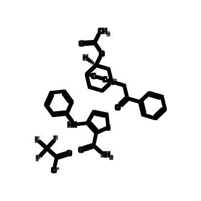 CC(=O)O[C@H]1C[N+]2(CC(=O)c3ccccc3)CCC1CC2.NC(=O)c1sccc1Nc1ccccc1.O=C([O-])C(F)(F)F